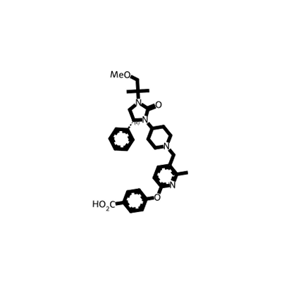 COCC(C)(C)N1C[C@@H](c2ccccc2)N(C2CCN(Cc3ccc(Oc4ccc(C(=O)O)cc4)nc3C)CC2)C1=O